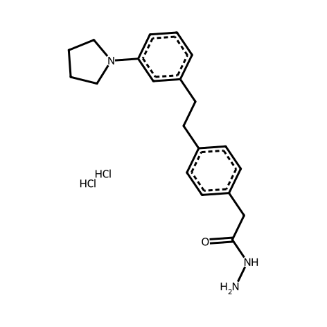 Cl.Cl.NNC(=O)Cc1ccc(CCc2cccc(N3CCCC3)c2)cc1